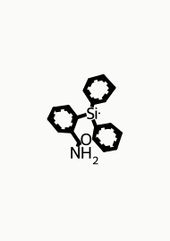 NC(=O)c1ccccc1[Si](c1ccccc1)c1ccccc1